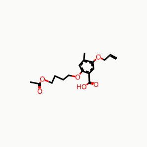 C=CCOc1cc(C(=O)O)c(OCCCCOC(C)=O)cc1C